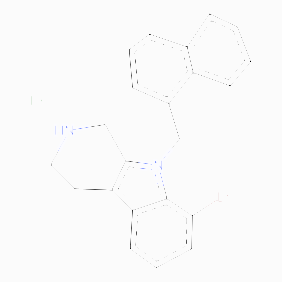 Brc1cccc2c3c(n(Cc4cccc5ccccc45)c12)CNCC3.Cl